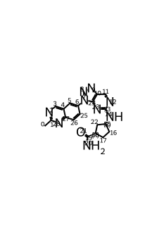 Cc1ncc2cc(-n3nnc4cnc(N[C@@H]5CC[C@@H](C(N)=O)C5)nc43)ccc2n1